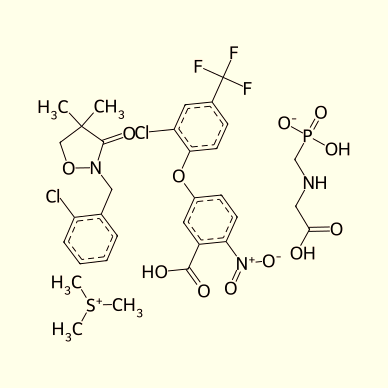 CC1(C)CON(Cc2ccccc2Cl)C1=O.C[S+](C)C.O=C(O)CNCP(=O)([O-])O.O=C(O)c1cc(Oc2ccc(C(F)(F)F)cc2Cl)ccc1[N+](=O)[O-]